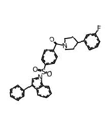 O=C(c1ccc(S(=O)(=O)n2cc(-c3ccccc3)c3ccccc32)cc1)N1CCC(c2cccc(F)c2)CC1